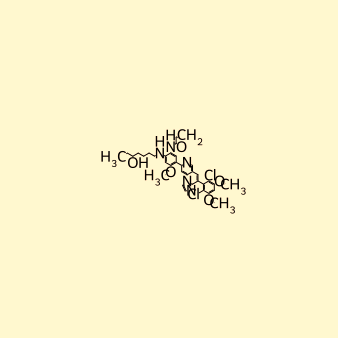 C=CC(=O)Nc1cc(-c2cc3c(cn2)cc(-c2c(Cl)c(OC)cc(OC)c2Cl)c2nccn23)c(OC)cc1NCCCCC(O)CC